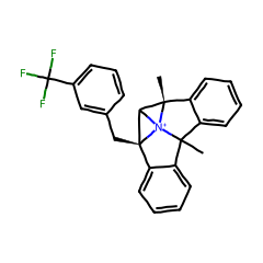 CC12c3ccccc3[C@@]3(C)C4[C@@](Cc5cccc(C(F)(F)F)c5)(c5ccccc51)[N+]423